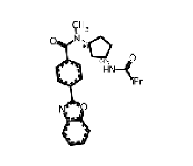 CC(C)C(=O)N[C@H]1CC[C@@H](N(C)C(=O)c2ccc(-c3nc4ccccc4o3)cc2)C1